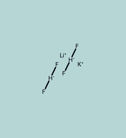 F[H-]F.F[H-]F.[K+].[Li+]